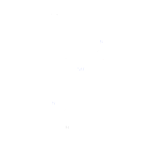 C/C(Nc1ccc(N(C)S(C)(=O)=O)cc1)=C1/C(=O)Nc2ccc(C(=O)O)cc21